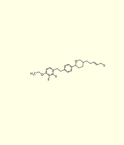 CCOc1ccc(CCc2ccc(C3CCC(CCC=CCF)CO3)cc2)c(F)c1F